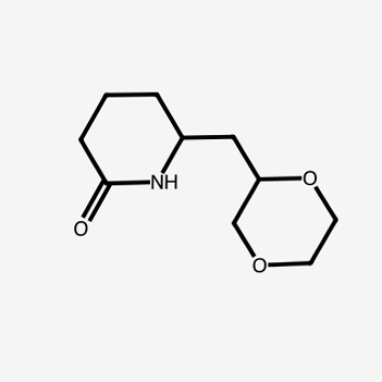 O=C1CCCC(CC2COCCO2)N1